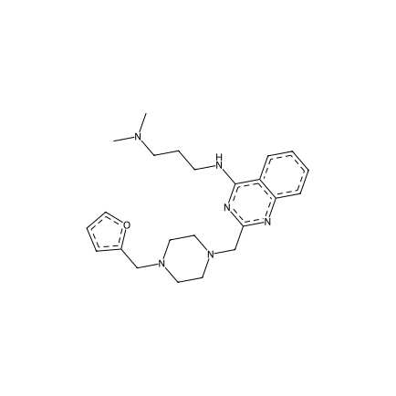 CN(C)CCCNc1nc(CN2CCN(Cc3ccco3)CC2)nc2ccccc12